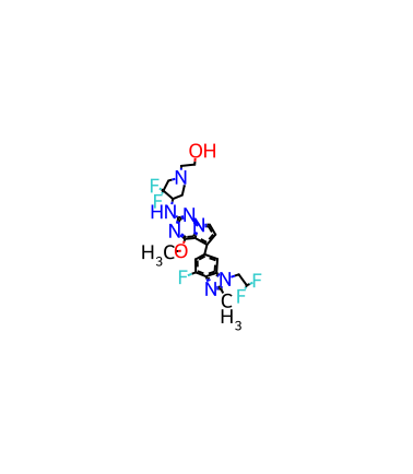 COc1nc(NC2CCN(CCO)CC2(F)F)nn2ccc(-c3cc(F)c4nc(C)n(CC(F)F)c4c3)c12